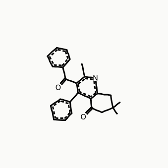 Cc1nc2c(c(-c3ccccc3)c1C(=O)c1ccccc1)C(=O)CC(C)(C)C2